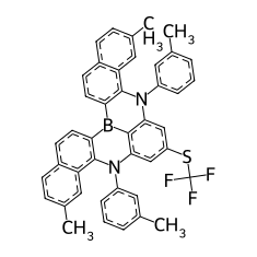 Cc1cccc(N2c3cc(SC(F)(F)F)cc4c3B(c3ccc5ccc(C)cc5c32)c2ccc3ccc(C)cc3c2N4c2cccc(C)c2)c1